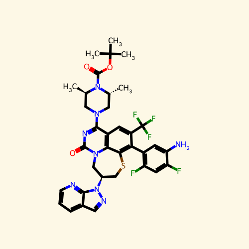 C[C@@H]1CN(c2nc(=O)n3c4c(c(-c5cc(N)c(F)cc5F)c(C(F)(F)F)cc24)SC[C@@H](n2ncc4cccnc42)C3)C[C@@H](C)N1C(=O)OC(C)(C)C